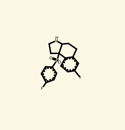 O=S(=O)(c1ccc(F)cc1)C12CCNC1CCc1cc(I)ccc12